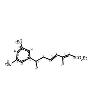 CCOC(=O)/C=C(C)/C=C/CC(C)c1cc(C(C)(C)C)cc(C(C)(C)C)c1